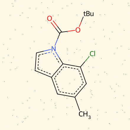 Cc1cc(Cl)c2c(ccn2C(=O)OC(C)(C)C)c1